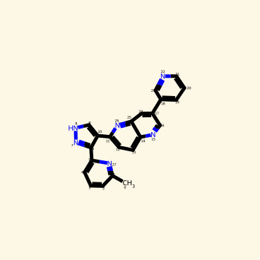 Cc1cccc(-c2n[nH]cc2-c2ccc3ncc(-c4cccnc4)cc3n2)n1